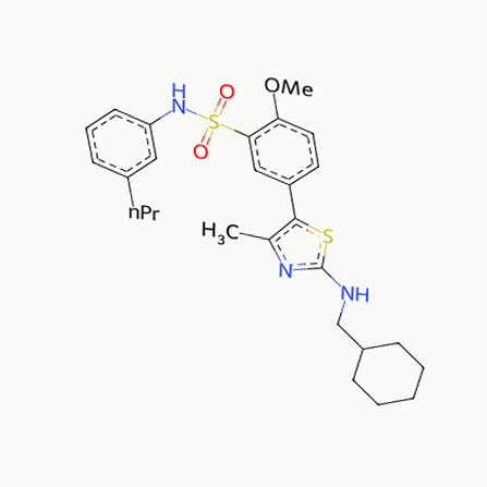 CCCc1cccc(NS(=O)(=O)c2cc(-c3sc(NCC4CCCCC4)nc3C)ccc2OC)c1